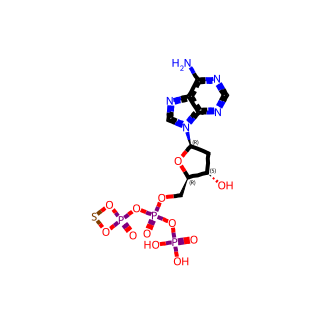 Nc1ncnc2c1ncn2[C@H]1C[C@H](O)[C@@H](COP(=O)(OP(=O)(O)O)OP2(=O)OSO2)O1